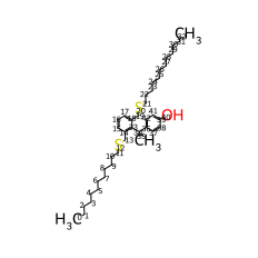 CCCCCCCCCCCCSCc1cccc(CSCCCCCCCCCCCC)c1C(C)c1ccc(O)cc1